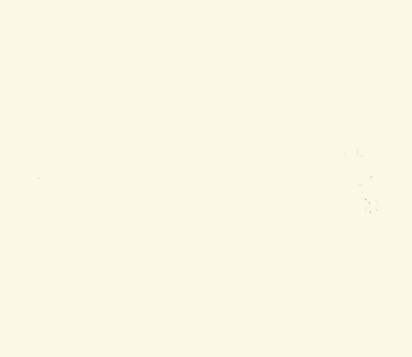 C1CO1.CCCCCCCCCCCCCOCCCCCCCCCCCCC.O=S(=O)([O-])[O-].[Na+].[Na+]